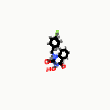 O=c1c2ccccc2n(Cc2ccc(F)cc2)c(=O)n1O